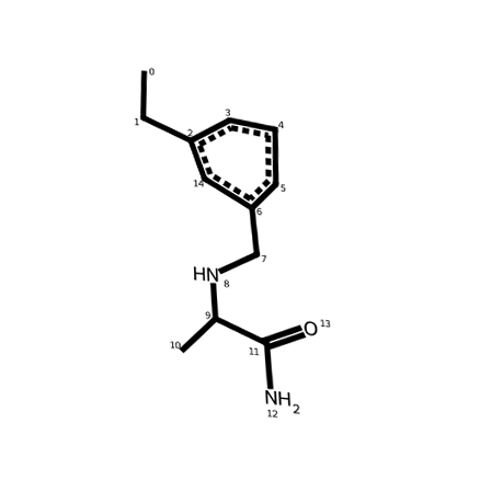 CCc1cccc(CNC(C)C(N)=O)c1